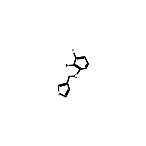 Fc1cc[c]c(OCc2ccsc2)c1F